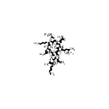 CC[C@H](C)[C@H](NC(=O)[C@@H](N)CC(C)C)C(=O)N[C@@H](CCC(N)=O)C(=O)N[C@@H](CCSC)C(=O)N[C@@H](CCCCN)C(=O)N[C@@H](CC(N)=O)C(=O)NCC(=O)N[C@@H](CC(N)=O)C(=O)N[C@@H](CCCCN)C(=O)O